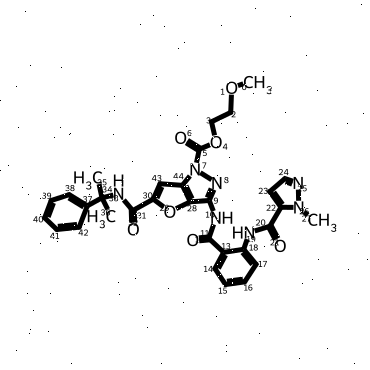 COCCOC(=O)n1nc(NC(=O)c2ccccc2NC(=O)c2ccnn2C)c2oc(C(=O)NC(C)(C)c3ccccc3)cc21